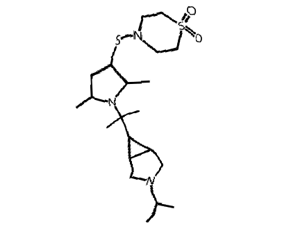 CC(C)N1CC2C(C1)C2C(C)(C)N1C(C)CC(SN2CCS(=O)(=O)CC2)C1C